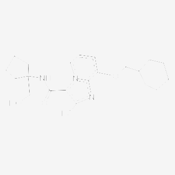 Cc1nc2c(OCC3CCCCC3)cccn2c1C(=O)NC1(CO)CCCC1